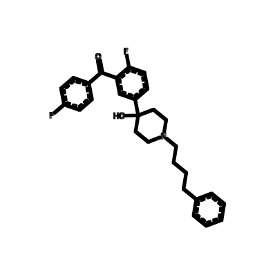 O=C(c1ccc(F)cc1)c1cc(C2(O)CCN(CCCCc3ccccc3)CC2)ccc1F